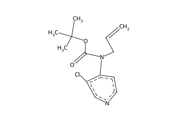 C=CCN(C(=O)OC(C)(C)C)c1ccncc1Cl